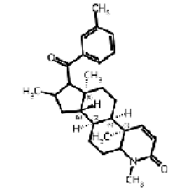 Cc1cccc(C(=O)C2C(C)C[C@H]3[C@@H]4CCC5N(C)C(=O)C=C[C@]5(C)[C@@H]4CC[C@]23C)c1